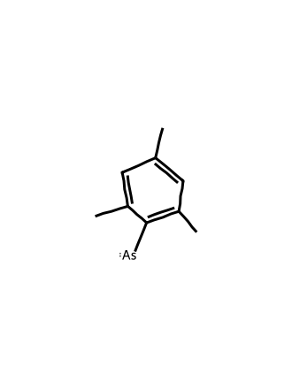 Cc1cc(C)c([As])c(C)c1